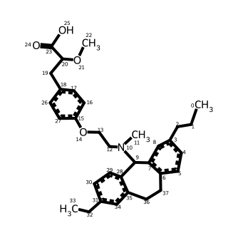 CCCc1ccc2c(c1)C(N(C)CCOc1ccc(CC(OC)C(=O)O)cc1)c1ccc(CC)cc1CC2